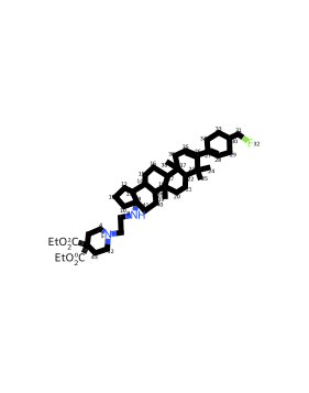 CCOC(=O)C1(C(=O)OCC)CCN(CCNC23CCCC2C2CCC4C(C)(CCC5C(C)(C)C(C6=CCC(CF)CC6)=CCC54C)C2CC3)CC1